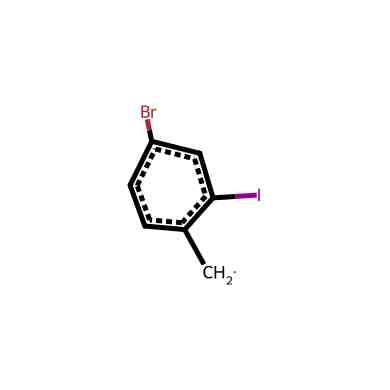 [CH2]c1ccc(Br)cc1I